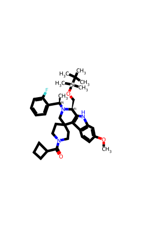 COc1ccc2c3c([nH]c2c1)[C@H](CO[Si](C)(C)C(C)(C)C)N([C@H](C)c1ccccc1F)CC31CCN(C(=O)C2CCC2)CC1